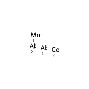 [Al].[Al].[Ce].[Mn]